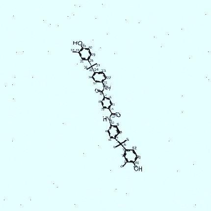 Cc1cc(C(C)(C)c2ccc(NC(=O)c3ccc(C(=O)Nc4ccc(C(C)(C)c5ccc(O)c(C)c5)cc4)cc3)cc2)ccc1O